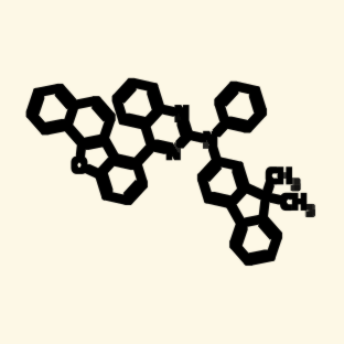 CC1(C)c2ccccc2-c2ccc(N(c3ccccc3)c3nc(-c4cccc5oc6c7ccccc7ccc6c45)c4ccccc4n3)cc21